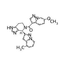 COc1ccc2c(C(=O)N3CCc4[nH]cnc4[C@@H]3c3cc4c(C)cccn4n3)cnn2c1